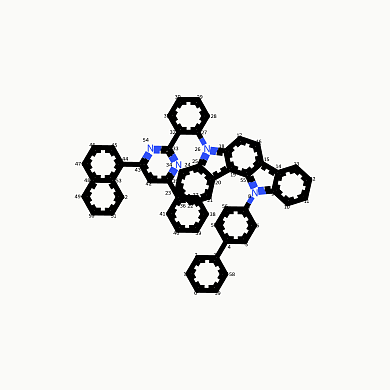 c1ccc(-c2ccc(-n3c4ccccc4c4ccc5c(c6ccccc6n5-c5ccccc5-c5nc(-c6ccccc6)cc(-c6cccc7ccccc67)n5)c43)cc2)cc1